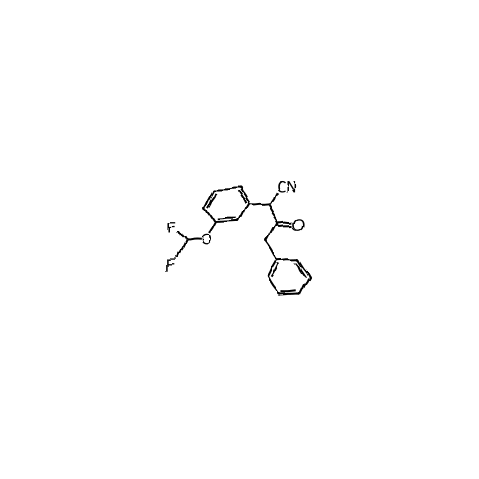 N#CC(C(=O)Cc1ccccc1)c1cccc(OC(F)F)c1